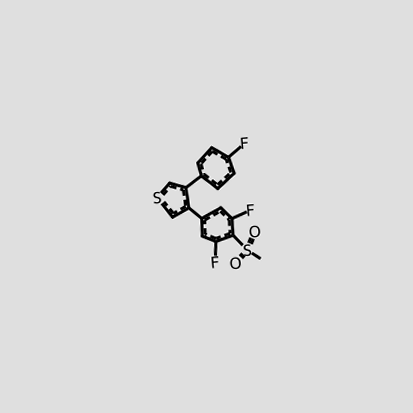 CS(=O)(=O)c1c(F)cc(-c2cscc2-c2ccc(F)cc2)cc1F